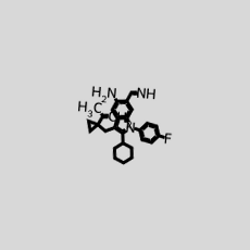 C=C(C)C1(Cc2c(C3CCCCC3)n(-c3ccc(F)cc3)c3cc(C=N)c(N)cc23)CC1